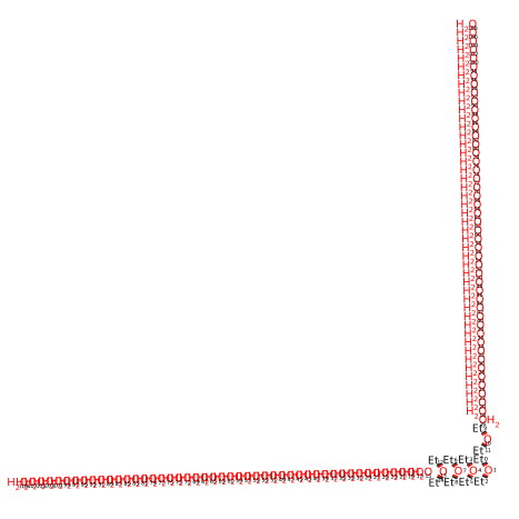 CCOCC.CCOCC.CCOCC.CCOCC.CCOCC.O.O.O.O.O.O.O.O.O.O.O.O.O.O.O.O.O.O.O.O.O.O.O.O.O.O.O.O.O.O.O.O.O.O.O.O.O.O.O.O.O.O.O.O.O.O.O.O.O.O.O.O.O.O.O.O.O.O.O.O.O.O.O.O.O.O.O.O.O.O.O.O.O.O.O.O.O.O.O.O.O.O.O.O.O.O.O.O.O.O.O.O.O.O.O